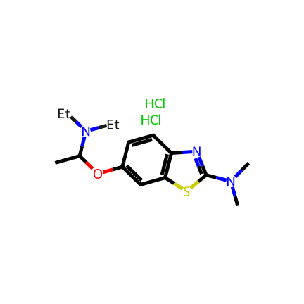 CCN(CC)C(C)Oc1ccc2nc(N(C)C)sc2c1.Cl.Cl